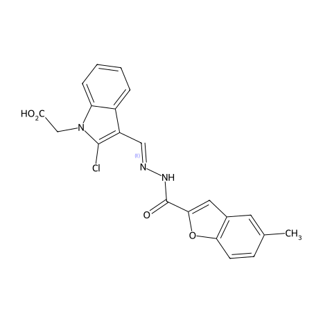 Cc1ccc2oc(C(=O)N/N=C/c3c(Cl)n(CC(=O)O)c4ccccc34)cc2c1